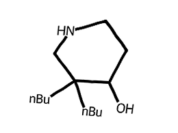 CCCCC1(CCCC)CNCCC1O